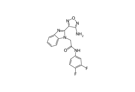 Nc1nonc1-c1nc2ccccc2n1CC(=O)Nc1ccc(F)c(F)c1